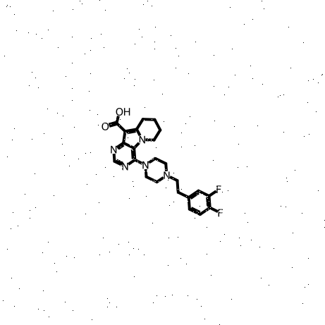 O=C(O)c1c2n(c3c(N4CCN(CCc5ccc(F)c(F)c5)CC4)ncnc13)CCCC2